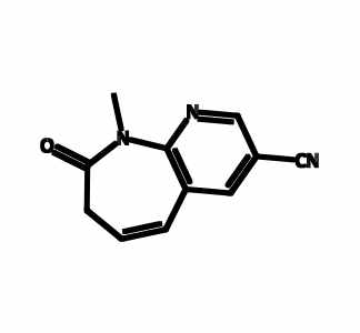 CN1C(=O)CC=Cc2cc(C#N)cnc21